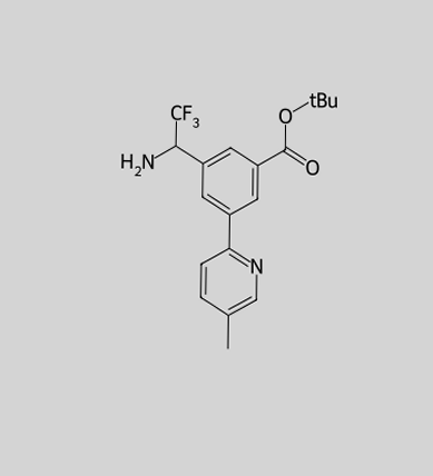 Cc1ccc(-c2cc(C(=O)OC(C)(C)C)cc(C(N)C(F)(F)F)c2)nc1